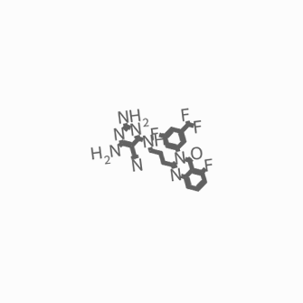 N#Cc1c(N)nc(N)nc1NCCCc1nc2cccc(F)c2c(=O)n1-c1cc(F)cc(C(F)F)c1